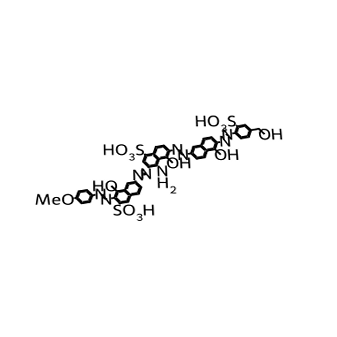 COc1ccc(N=Nc2c(S(=O)(=O)O)cc3ccc(N=Nc4cc(S(=O)(=O)O)c5ccc(N=Nc6ccc7c(O)c(N=Nc8ccc(CO)cc8S(=O)(=O)O)ccc7c6)c(O)c5c4N)cc3c2O)cc1